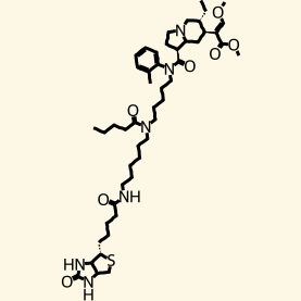 CCCCC(=O)N(CCCCCCNC(=O)CCCC[C@@H]1SCC2NC(=O)NC21)CCCCCN(C(=O)[C@H]1CCN2C[C@H](CC)[C@@H](/C(=C\OC)C(=O)OC)CC12)c1ccccc1C